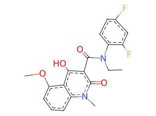 CCN(C(=O)c1c(O)c2c(OC)cccc2n(C)c1=O)c1ccc(F)cc1F